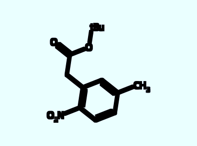 Cc1ccc([N+](=O)[O-])c(CC(=O)OC(C)(C)C)c1